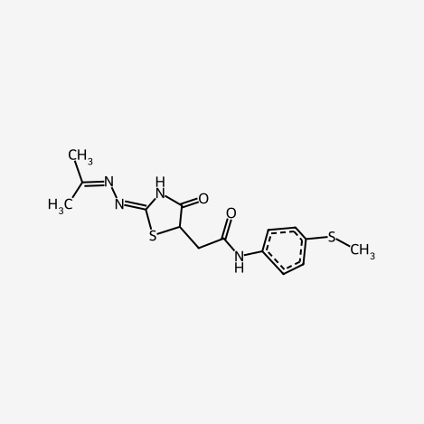 CSc1ccc(NC(=O)CC2S/C(=N/N=C(C)C)NC2=O)cc1